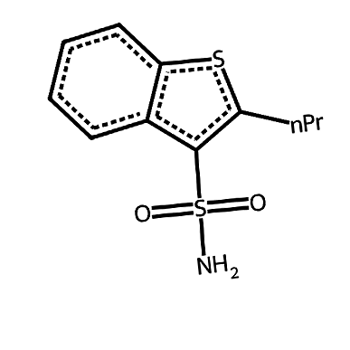 CCCc1sc2ccccc2c1S(N)(=O)=O